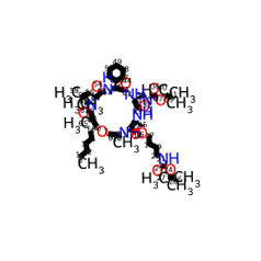 CCCCCC[C@H]1OC[C@@H](C)NC(=O)[C@H](COCCCCNC(=O)OC(C)(C)C)NC(=O)[C@H](CNC(=O)OC(C)(C)C)NC(=O)[C@H](C2CCCCC2)NC(=O)[C@H](CC(C)C)N(C)C(=O)[C@@H]1C